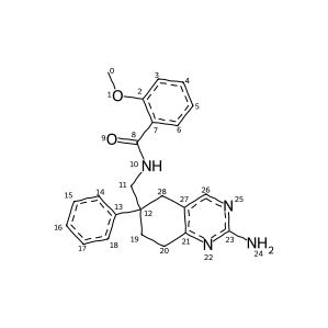 COc1ccccc1C(=O)NCC1(c2ccccc2)CCc2nc(N)ncc2C1